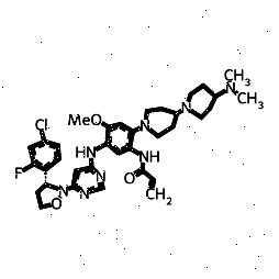 C=CC(=O)Nc1cc(Nc2cc(N3OCC[C@@H]3c3ccc(Cl)cc3F)ncn2)c(OC)cc1N1CCC(N2CCC(N(C)C)CC2)CC1